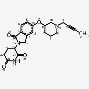 CC#CCN1CCCC(Oc2ccc3c(c2)CN(C2CCC(=O)NC2=O)C3=O)C1